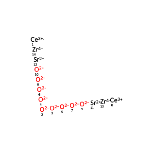 [Ce+3].[Ce+3].[O-2].[O-2].[O-2].[O-2].[O-2].[O-2].[O-2].[O-2].[O-2].[Sr+2].[Sr+2].[Zr+4].[Zr+4]